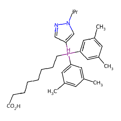 Cc1cc(C)cc([PH](CCCCCCCC(=O)O)(c2cc(C)cc(C)c2)c2cnn(C(C)C)c2)c1